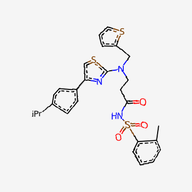 Cc1ccccc1S(=O)(=O)NC(=O)CCN(Cc1cccs1)c1nc(-c2ccc(C(C)C)cc2)cs1